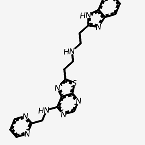 c1cnc(CNc2ncnc3sc(CCNCCc4nc5ccccc5[nH]4)nc23)nc1